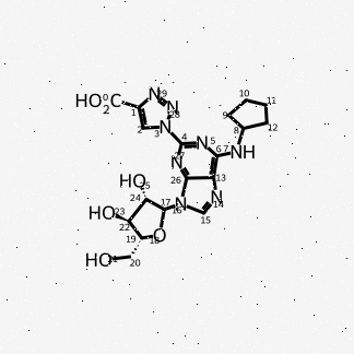 O=C(O)c1cn(-c2nc(NC3CCCC3)c3ncn(C4O[C@H](CO)[C@@H](O)[C@@H]4O)c3n2)nn1